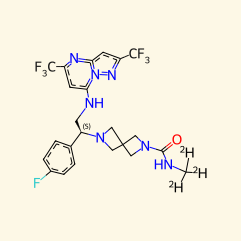 [2H]C([2H])([2H])NC(=O)N1CC2(C1)CN([C@H](CNc1cc(C(F)(F)F)nc3cc(C(F)(F)F)nn13)c1ccc(F)cc1)C2